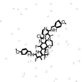 COc1ccc(CNc2nccnc2[C@@H](C)N2CCOc3c(Cl)c(-c4nc(NCc5ccc(OC)cc5)c(F)c(C)c4C(F)(F)F)c(F)c4nc(Cl)nc2c34)cc1